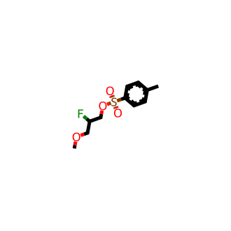 COCC(F)COS(=O)(=O)c1ccc(C)cc1